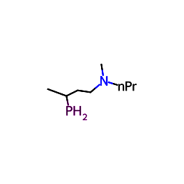 CCCN(C)CCC(C)P